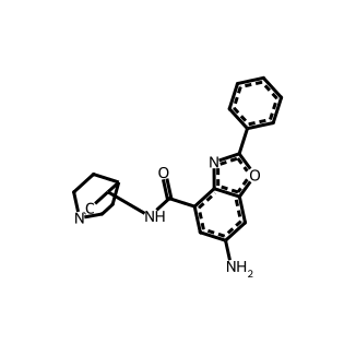 Nc1cc(C(=O)NC2CN3CCC2CC3)c2nc(-c3ccccc3)oc2c1